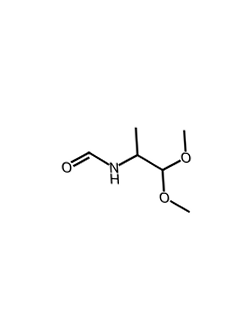 COC(OC)C(C)NC=O